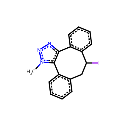 Cn1nnc2c1-c1ccccc1CC(I)c1ccccc1-2